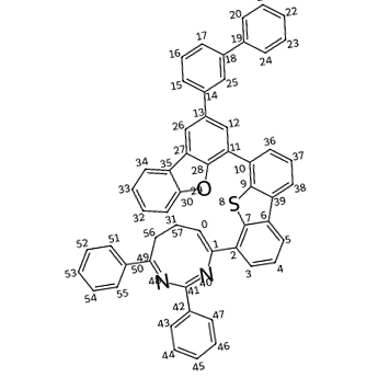 C1=C(c2cccc3c2sc2c(-c4cc(-c5cccc(-c6ccccc6)c5)cc5c4oc4ccccc45)cccc23)/N=C(c2ccccc2)\N=C(\c2ccccc2)CC\1